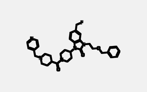 O=C(C1CCN(Cc2ccncc2)CC1)N1CCC(n2c(=O)n(CCOCc3ccccc3)c3cc(CF)ccc32)CC1